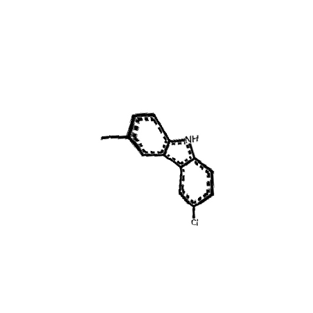 Cc1ccc2[nH]c3ccc(Cl)cc3c2c1